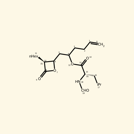 C=CCCC(CC1OC(=O)[C@H]1CCCCCC)OC(=O)[C@H](CC(C)C)NC=O